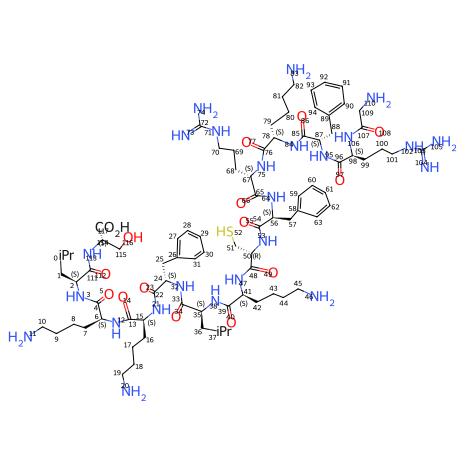 CC(C)C[C@H](NC(=O)[C@H](CCCCN)NC(=O)[C@H](CCCCN)NC(=O)[C@H](Cc1ccccc1)NC(=O)[C@H](CC(C)C)NC(=O)[C@H](CCCCN)NC(=O)[C@H](CS)NC(=O)[C@H](Cc1ccccc1)NC(=O)[C@H](CCCNC(=N)N)NC(=O)[C@H](CCCCN)NC(=O)[C@H](Cc1ccccc1)NC(=O)[C@H](CCCNC(=N)N)NC(=O)CN)C(=O)N[C@@H](CO)C(=O)O